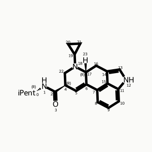 CCC[C@@H](C)NC(=O)[C@@H]1C=C2c3cccc4[nH]cc(c34)C[C@H]2N(C2CC2)C1